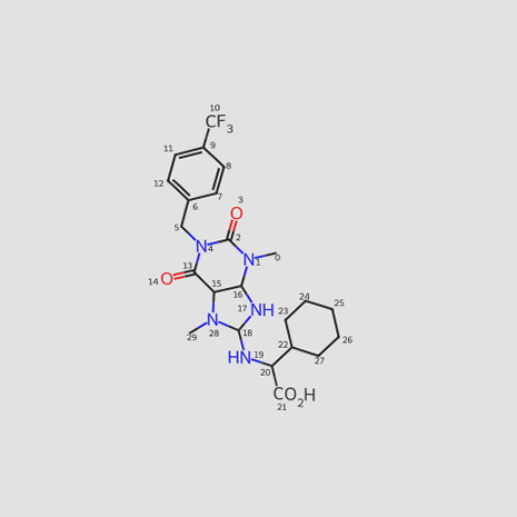 CN1C(=O)N(Cc2ccc(C(F)(F)F)cc2)C(=O)C2C1NC(NC(C(=O)O)C1CCCCC1)N2C